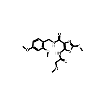 COCC(=O)Nc1sc(SC)nc1C(=O)NCc1ccc(OC)cc1OC